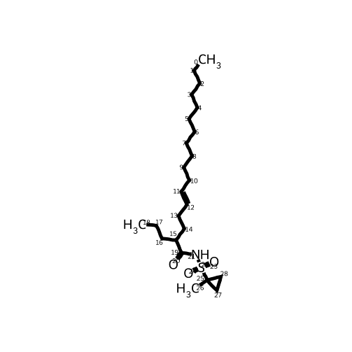 CCCCCCCCCCCC=CCCC(CCC)C(=O)NS(=O)(=O)C1(C)CC1